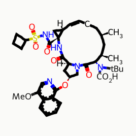 COc1cnc(O[C@@H]2C[C@H]3C(=O)N[C@]4(C(=O)NS(=O)(=O)C5CCC5)C[C@H]4/C=C\CC[C@@H](C)C[C@@H](C)[C@H](N(C(=O)O)C(C)(C)C)C(=O)N3C2)c2ccccc12